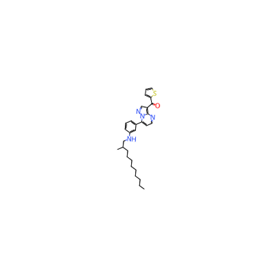 CCCCCCCCCC(C)CNc1cccc(-c2ccnc3c(C(=O)c4cccs4)cnn23)c1